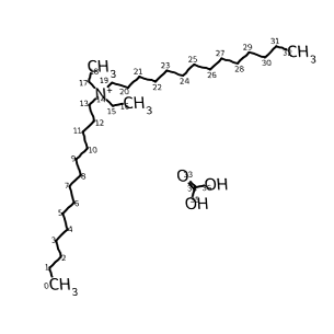 CCCCCCCCCCCCCC[N+](CC)(CC)CCCCCCCCCCCCCC.O=C(O)O